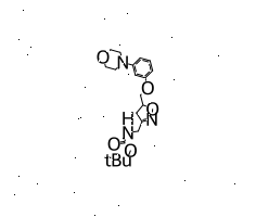 CC(C)(C)OC(=O)NCC1=NOC(COc2cccc(N3CCOCC3)c2)C1